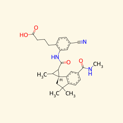 CNC(=O)c1ccc2c(c1)[C@]1(CC2(C)C)C(C)C1C(=O)Nc1cc(C#N)ccc1CCCC(=O)O